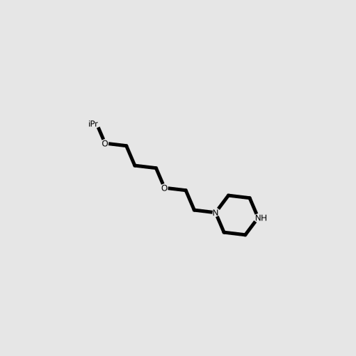 CC(C)OCCCOCCN1CCNCC1